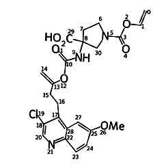 C=COC(=O)N1CCC(NC(=O)OC(=C)CCc2c(Cl)cnc3ccc(OC)cc23)(C(=O)O)C1